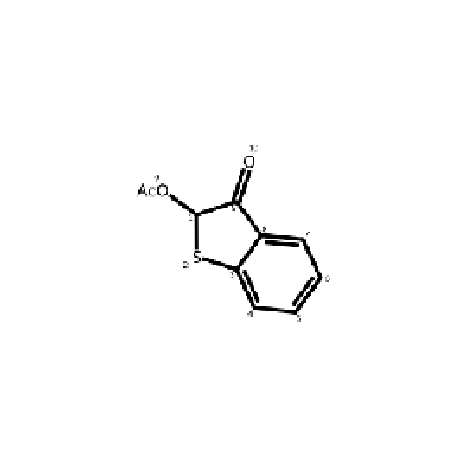 CC(=O)OC1Sc2ccccc2C1=O